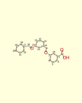 O=C(O)c1cccc(OCc2cccc(OCc3ccccc3)c2)c1